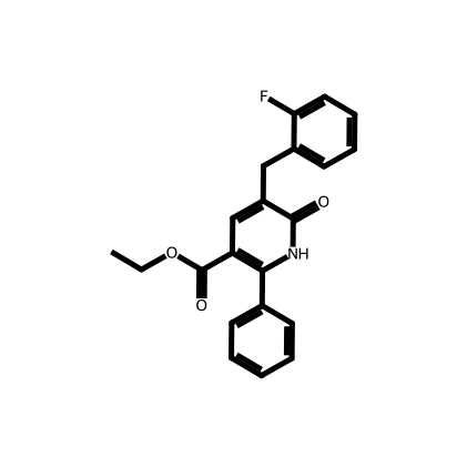 CCOC(=O)c1cc(Cc2ccccc2F)c(=O)[nH]c1-c1ccccc1